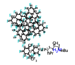 CCCC[NH2+]CC(C)CCC(CC)CCC.Fc1c(F)c(F)c(-c2c(C(F)(F)F)c(F)c(F)c(F)c2C(F)(F)C(F)(F)F)c(F)c1F.Fc1c(F)c2c(F)c(F)c3c(F)c(F)c([B-](c4c(F)c(F)c5c(F)c(F)c6c(F)c(F)c(F)c7c(F)c(F)c4c5c67)(c4c(F)c(F)c5c(F)c(F)c6c(F)c(F)c(F)c7c(F)c(F)c4c5c67)c4c(F)c(F)c5c(F)c(F)c6c(F)c(F)c(F)c7c(F)c(F)c4c5c67)c4c(F)c(F)c(c1F)c2c34